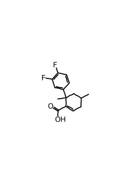 CC1CC=C(C(=O)O)C(C)(c2ccc(F)c(F)c2)C1